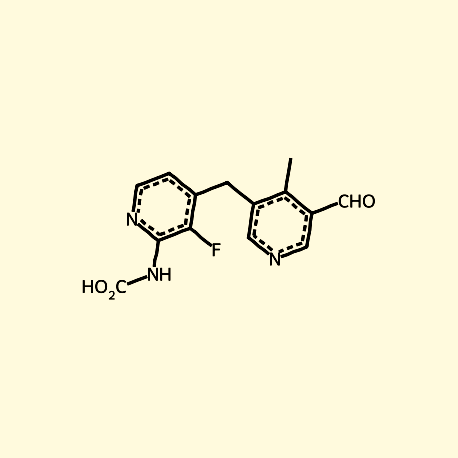 Cc1c(C=O)cncc1Cc1ccnc(NC(=O)O)c1F